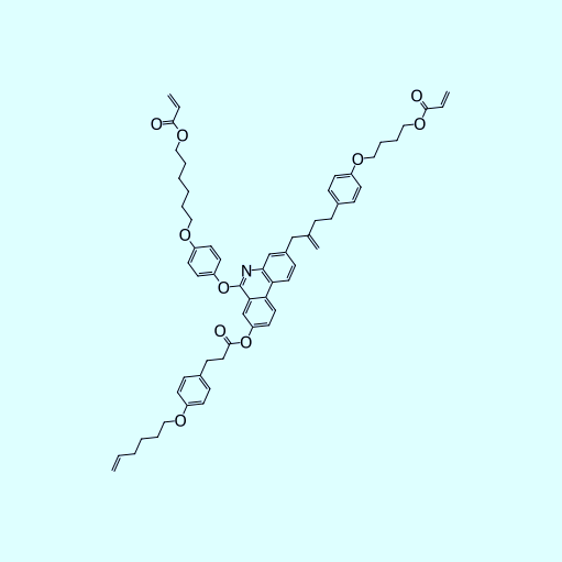 C=CCCCCOc1ccc(CCC(=O)Oc2ccc3c(c2)c(Oc2ccc(OCCCCCCOC(=O)C=C)cc2)nc2cc(CC(=C)CCc4ccc(OCCCCOC(=O)C=C)cc4)ccc23)cc1